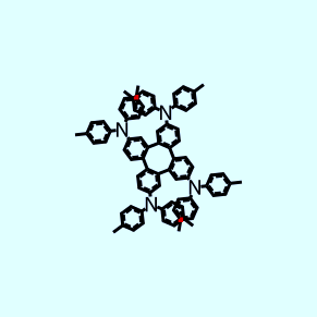 Cc1ccc(N(c2ccc(C)cc2)c2ccc3c(c2)-c2cc(N(c4ccc(C)cc4)c4ccc(C)cc4)ccc2-c2ccc(N(c4ccc(C)cc4)c4ccc(C)cc4)cc2-c2cc(N(c4ccc(C)cc4)c4ccc(C)cc4)ccc2-3)cc1